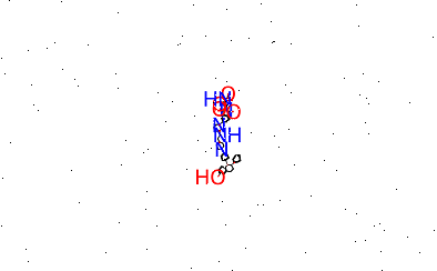 O=C1CCC(N2C(=O)c3ccc(N4CCCC(NCC5CCN(c6ccc([C@@H]7c8ccc(O)cc8CC[C@@H]7c7ccccc7)cc6)CC5)C4)cc3C2=O)C(=O)N1